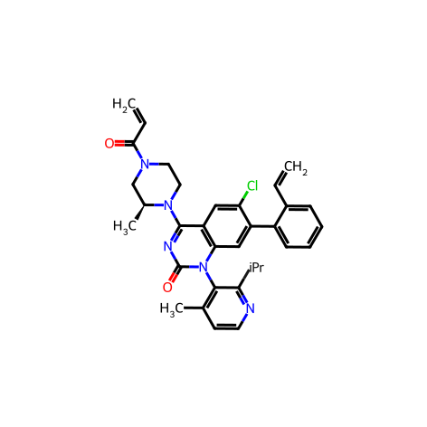 C=CC(=O)N1CCN(c2nc(=O)n(-c3c(C)ccnc3C(C)C)c3cc(-c4ccccc4C=C)c(Cl)cc23)[C@@H](C)C1